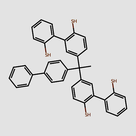 CC(c1ccc(-c2ccccc2)cc1)(c1ccc(S)c(-c2ccccc2S)c1)c1ccc(S)c(-c2ccccc2S)c1